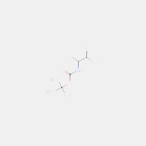 CC(O)C(I)NC(=O)OC(C)(C)C